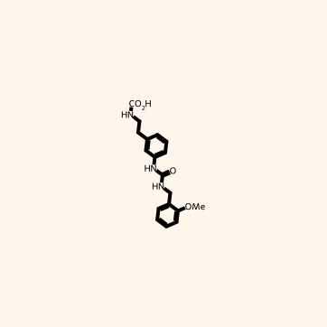 COc1ccccc1CNC(=O)Nc1cccc(CCNC(=O)O)c1